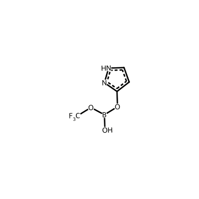 OB(Oc1cc[nH]n1)OC(F)(F)F